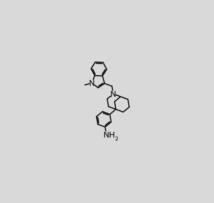 Cn1cc(CN2CCC3(c4cccc(N)c4)CCCC2C3)c2ccccc21